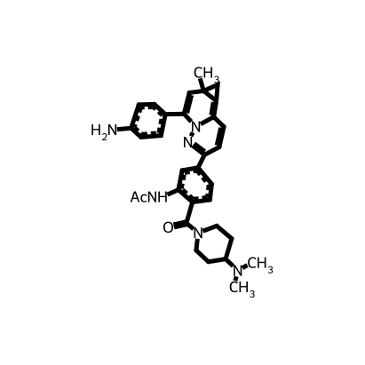 CC(=O)Nc1cc(C2=NN3C(c4ccc(N)cc4)=CC4(C)CC4=C3C=C2)ccc1C(=O)N1CCC(N(C)C)CC1